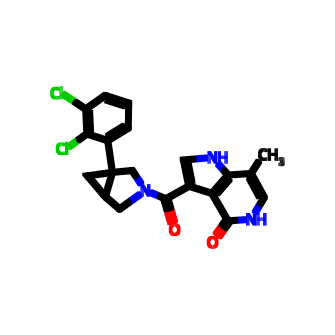 Cc1c[nH]c(=O)c2c(C(=O)N3CC4CC4(c4cccc(Cl)c4Cl)C3)c[nH]c12